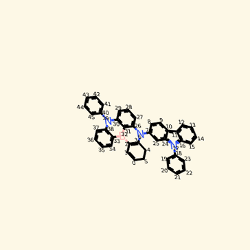 C1=CC2=C(CC1)N(c1ccc3c4ccccc4n(-c4ccccc4)c3c1)c1cccc3c1B2c1ccccc1N3c1ccccc1